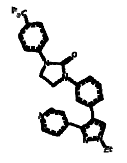 CCn1cc(-c2cccc(N3CCN(c4ccc(C(F)(F)F)cc4)C3=O)c2)c(-c2ccncc2)n1